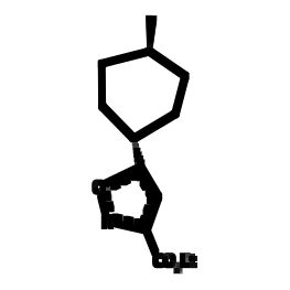 CCOC(=O)c1cc([C@H]2CC[C@H](C)CC2)on1